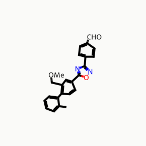 COCc1cc(-c2nc(-c3ccc(C=O)cc3)no2)ccc1-c1ccccc1C